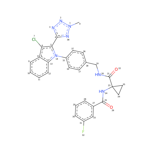 Cn1nnc(-c2c(Cl)c3ccccc3n2-c2ccc(CNC(=O)C3(NC(=O)c4cccc(F)c4)CC3)cc2)n1